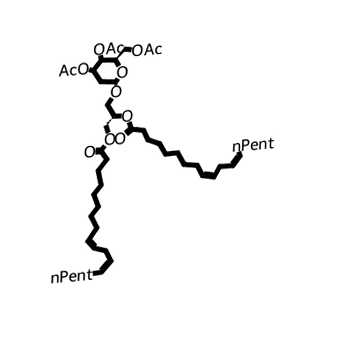 CCCCC/C=C\C/C=C\CCCCCCCC(=O)OC[C@H](CO[C@H]1CC(OC(C)=O)C(OC(C)=O)[C@@H](COC(C)=O)O1)OC(=O)CCCCCCC/C=C\C/C=C\CCCCC